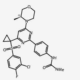 CNC(=O)Nc1ccc(-c2nc(N3CCOC[C@@H]3C)cc(C3(S(=O)(=O)c4ccc(F)c(Cl)c4)CC3)n2)cc1